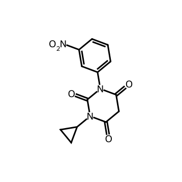 O=C1CC(=O)N(C2CC2)C(=O)N1c1cccc([N+](=O)[O-])c1